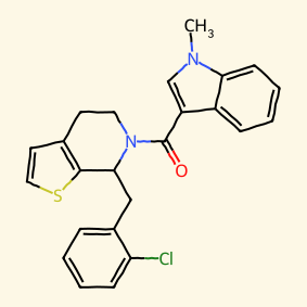 Cn1cc(C(=O)N2CCc3ccsc3C2Cc2ccccc2Cl)c2ccccc21